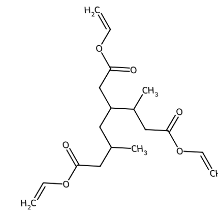 C=COC(=O)CC(C)CC(CC(=O)OC=C)C(C)CC(=O)OC=C